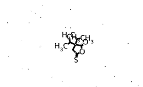 CC(C)C1(C(C)C)CC(=S)OC1=O